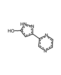 Oc1cc(-c2cnccn2)n[nH]1